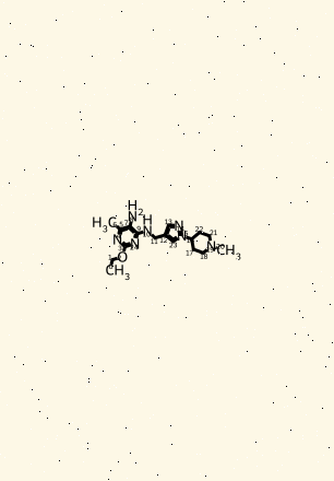 CCOc1nc(C)c(N)c(NCc2cnn(C3CCN(C)CC3)c2)n1